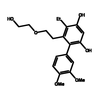 CCc1c(O)cc(O)c(-c2ccc(OC)c(OC)c2)c1CCOCCO